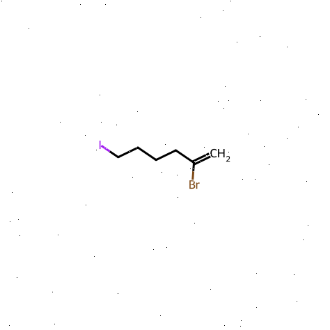 C=C(Br)CCCCI